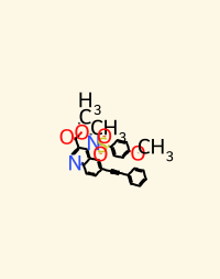 CCOC(=O)c1cnc2ccc(C#Cc3ccccc3)cc2c1N(CC)S(=O)(=O)c1ccc(OC)cc1